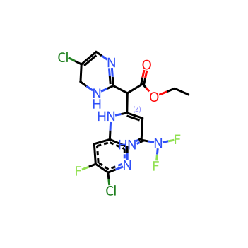 CCOC(=O)C(C1=NC=C(Cl)CN1)/C(=C/C(=N)N(F)F)Nc1cnc(Cl)c(F)c1